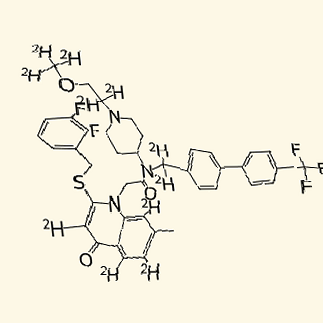 [2H]c1c(C)c([2H])c2c(c1[2H])c(=O)c([2H])c(SCc1cccc(F)c1F)n2CC(=O)N(C1CCN(C([2H])([2H])COC([2H])([2H])[2H])CC1)C([2H])([2H])c1ccc(-c2ccc(C(F)(F)F)cc2)cc1